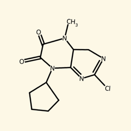 CN1C(=O)C(=O)N(C2CCCC2)C2=NC(Cl)=NCC21